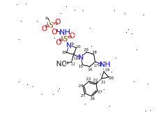 CS(=O)(=O)ONS(=O)(=O)N1CC(CC#N)(N2CCC(N[C@@H]3C[C@H]3c3ccccc3)CC2)C1